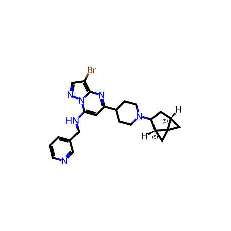 Brc1cnn2c(NCc3cccnc3)cc(C3CCN(C4C[C@@H]5CC56C[C@H]46)CC3)nc12